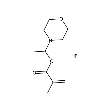 C=C(C)C(=O)OC(C)N1CCOCC1.F